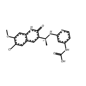 COc1cc2[nH]c(=O)c([C@H](C)Nc3cc(NC(=O)O)ccn3)cc2cc1Cl